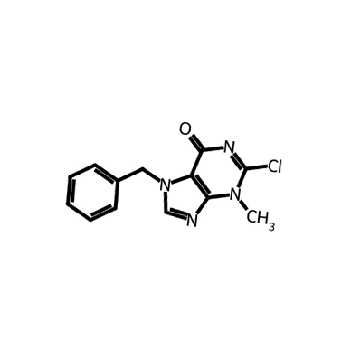 Cn1c(Cl)nc(=O)c2c1ncn2Cc1ccccc1